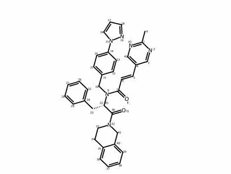 Cc1ncc(C=CC(=O)N(Cc2ccc(-n3cccn3)cc2)[C@@H](Cc2ccccc2)C(=O)N2CCc3ccccc3C2)cn1